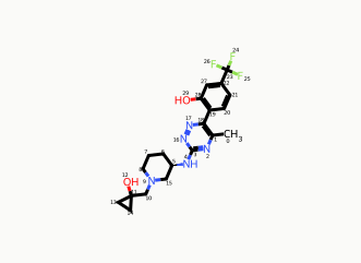 Cc1nc(N[C@@H]2CCCN(CC3(O)CC3)C2)nnc1-c1ccc(C(F)(F)F)cc1O